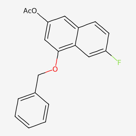 CC(=O)Oc1cc(OCc2ccccc2)c2cc(F)ccc2c1